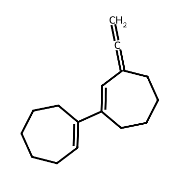 C=C=C1C=C(C2=CCCCCC2)CCCC1